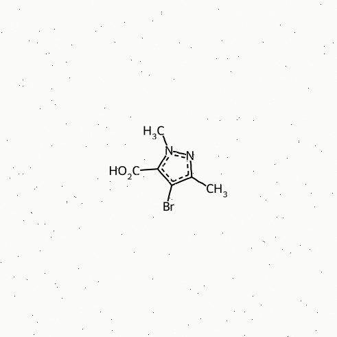 Cc1nn(C)c(C(=O)O)c1Br